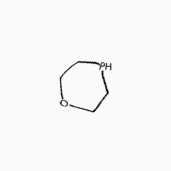 C1CPCCO1